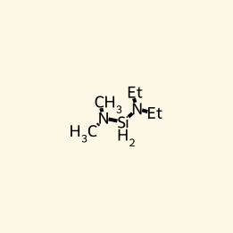 CCN(CC)[SiH2]N(C)C